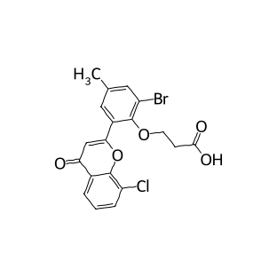 Cc1cc(Br)c(OCCC(=O)O)c(-c2cc(=O)c3cccc(Cl)c3o2)c1